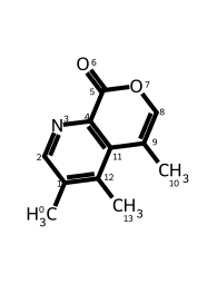 Cc1cnc2c(=O)occ(C)c2c1C